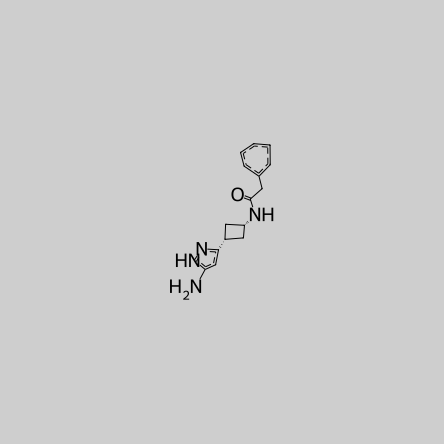 Nc1cc([C@H]2C[C@@H](NC(=O)Cc3ccccc3)C2)n[nH]1